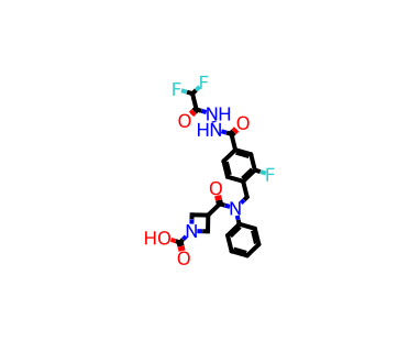 O=C(NNC(=O)C(F)F)c1ccc(CN(C(=O)C2CN(C(=O)O)C2)c2ccccc2)c(F)c1